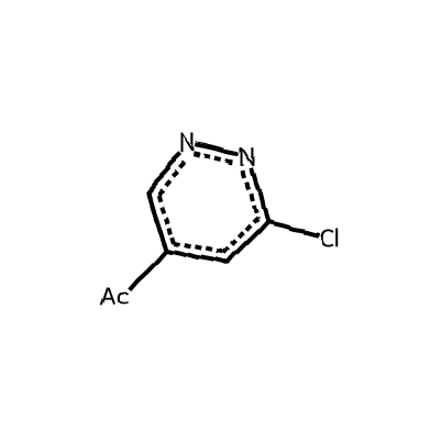 CC(=O)c1cnnc(Cl)c1